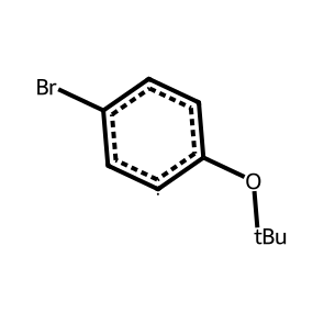 CC(C)(C)Oc1[c]cc(Br)cc1